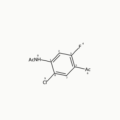 CC(=O)Nc1cc(F)c(C(C)=O)cc1Cl